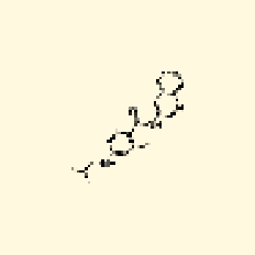 CC(C)CNc1ccc(C(=O)Nc2cnc3ccccc3c2)c(Cl)c1